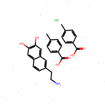 Cc1ccc(C(=O)O)cc1.Cc1ccc(C(=O)O)cc1.Cl.NCCc1ccc2cc(O)c(O)cc2c1